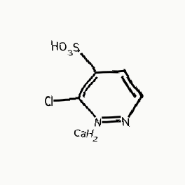 O=S(=O)(O)c1ccnnc1Cl.[CaH2]